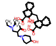 CCN(CC)CC(CN1CCC(O)CC1)C(C)=O.O=C(O)c1cc2ccccc2c(Cc2c(O)c(C(=O)O)cc3ccccc23)c1O